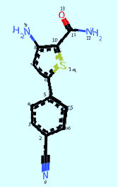 N#Cc1ccc(-c2cc(N)c(C(N)=O)s2)cc1